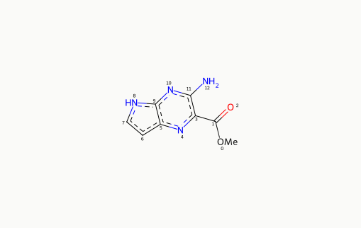 COC(=O)c1nc2cc[nH]c2nc1N